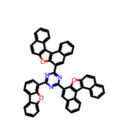 c1ccc2c(c1)ccc1oc3c(-c4nc(-c5cccc6c5oc5ccccc56)nc(-c5cc6ccccc6c6c5oc5ccc7ccccc7c56)n4)cc4ccccc4c3c12